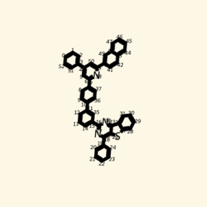 c1ccc(-c2cc(-c3ccc(-c4cccc(-c5nc(-c6ccccc6)c6sc7ccccc7c6n5)c4)cc3)nc(-c3ccc4ccccc4c3)c2)cc1